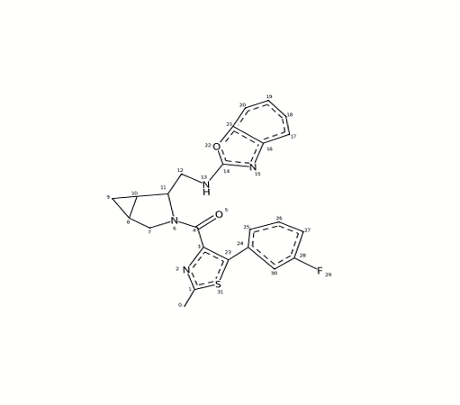 Cc1nc(C(=O)N2CC3CC3C2CNc2nc3ccccc3o2)c(-c2cccc(F)c2)s1